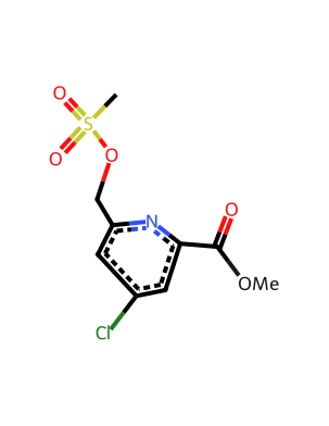 COC(=O)c1cc(Cl)cc(COS(C)(=O)=O)n1